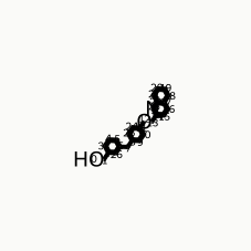 OCc1cccc(Cc2ccc(OCc3ccc4ccccc4n3)cc2)c1